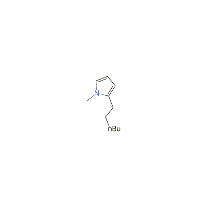 CCCCCCc1cccn1C